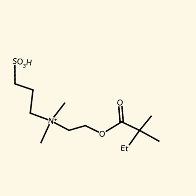 CCC(C)(C)C(=O)OCC[N+](C)(C)CCCS(=O)(=O)O